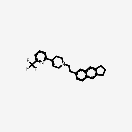 FC(F)(F)c1cccc(C2=CCN(CCc3ccc4cc5c(cc4c3)CCC5)CC2)n1